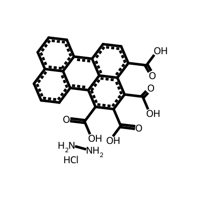 Cl.NN.O=C(O)c1c(C(=O)O)c2c(C(=O)O)ccc3c4cccc5cccc(c(c1C(=O)O)c23)c54